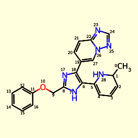 CC1C=CC=C(c2[nH]c(COc3ccccc3)nc2-c2ccc3ncnn3c2)N1